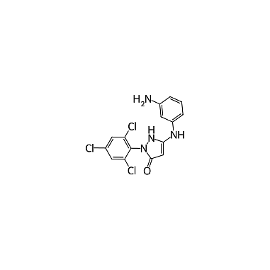 Nc1cccc(Nc2cc(=O)n(-c3c(Cl)cc(Cl)cc3Cl)[nH]2)c1